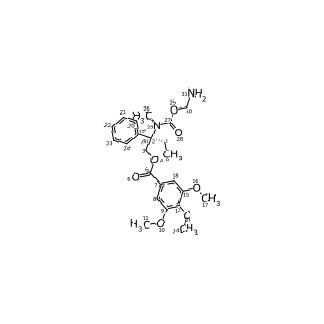 CC[C@](COC(=O)c1cc(OC)c(OC)c(OC)c1)(c1ccccc1)N(C)C(=O)OCN